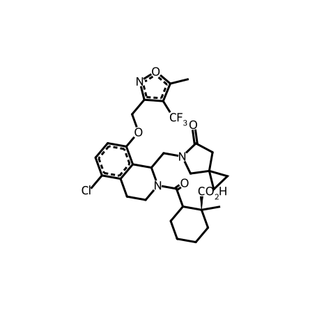 Cc1onc(COc2ccc(Cl)c3c2C(CN2CC4(CC4)CC2=O)N(C(=O)C2CCCC[C@]2(C)C(=O)O)CC3)c1C(F)(F)F